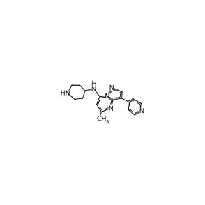 Cc1cc(NC2CCNCC2)n2ncc(-c3ccncc3)c2n1